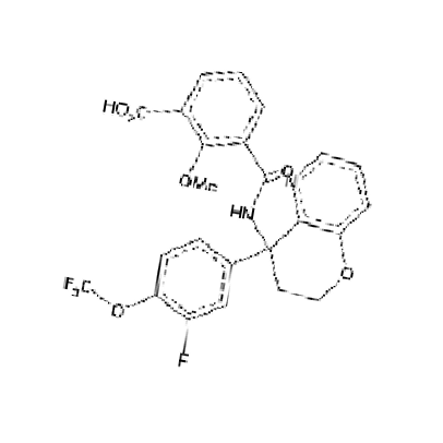 COc1c(C(=O)O)cccc1C(=O)NC1(c2ccc(OC(F)(F)F)c(F)c2)CCOc2cccnc21